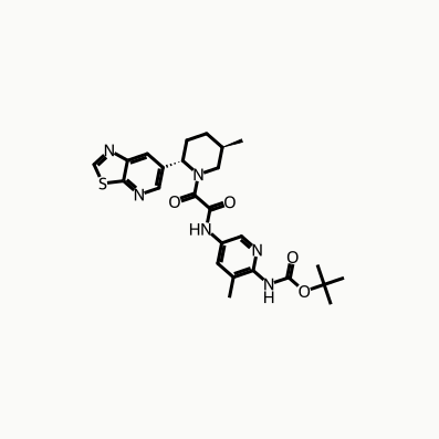 Cc1cc(NC(=O)C(=O)N2C[C@H](C)CC[C@H]2c2cnc3scnc3c2)cnc1NC(=O)OC(C)(C)C